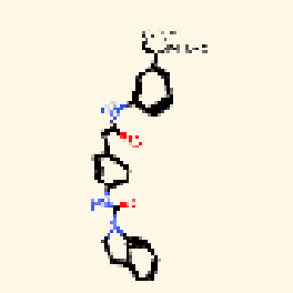 CC(=O)NC(CC(=O)O)c1cccc(NC(=O)Cc2ccc(NC(=O)N3CCc4ccccc43)cc2)c1